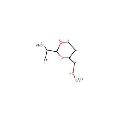 CCCCCCCCCC(CC)C1OCCC(COS(=O)(=O)O)O1